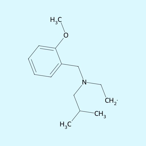 [CH2]CN(Cc1ccccc1OC)CC(C)C